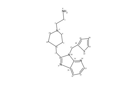 NCCN1CCC(Cc2nc3cccnc3n2Cc2cccs2)CC1